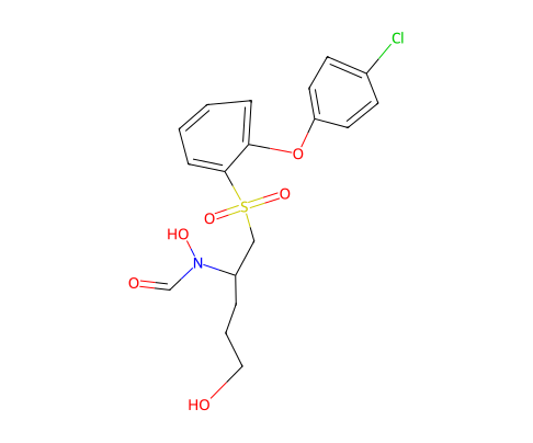 O=CN(O)C(CCCO)CS(=O)(=O)c1ccccc1Oc1ccc(Cl)cc1